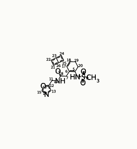 CS(=O)(=O)NC1=C(CC(=O)NCc2cnco2)C=CCC1.c1cc2ccc1-2